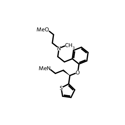 CNCC[C@@H](Oc1ccccc1CCN(C)CCOC)c1cccs1